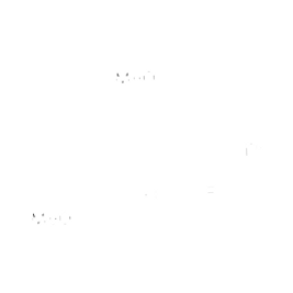 COCCOc1cc(OC)cc(C(C)C)c1F